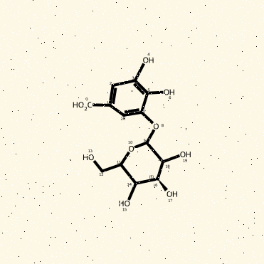 O=C(O)c1cc(O)c(O)c(OC2OC(CO)C(O)[C@H](O)C2O)c1